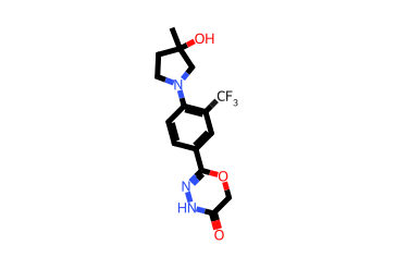 CC1(O)CCN(c2ccc(C3=NNC(=O)CO3)cc2C(F)(F)F)C1